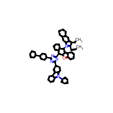 C=Cc1c(/C=C\C)n(-c2c3ccccc3c(-c3nc(-c4ccc(-c5ccccc5)cc4)nc(-c4ccc5c(c4)c4ccccc4n5-c4ccccc4)n3)c3oc4ccccc4c23)c2cc3ccccc3cc12